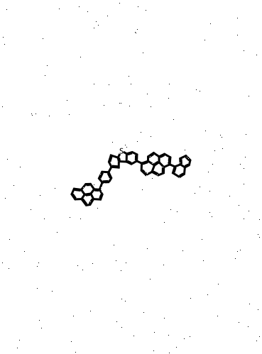 c1ccc2c(-c3ccc4ccc5c(-c6ccc7sc8ccc(-c9ccc(-c%10ccc%11ccc%12cccc%13ccc%10c%11c%12%13)cc9)cc8c7c6)ccc6ccc3c4c65)cccc2c1